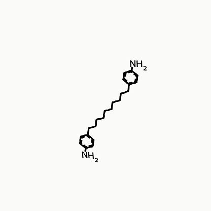 Nc1ccc(CCCCCCCCCCc2ccc(N)cc2)cc1